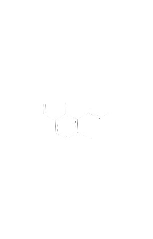 CC=Cc1c(O)ccc(C=O)c1Cl